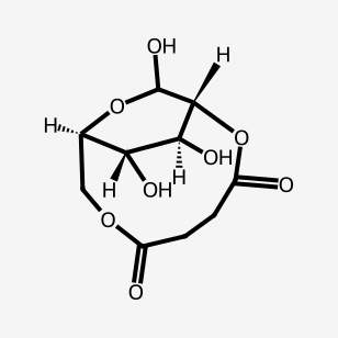 O=C1CCC(=O)O[C@H]2C(O)O[C@H](CO1)[C@@H](O)[C@@H]2O